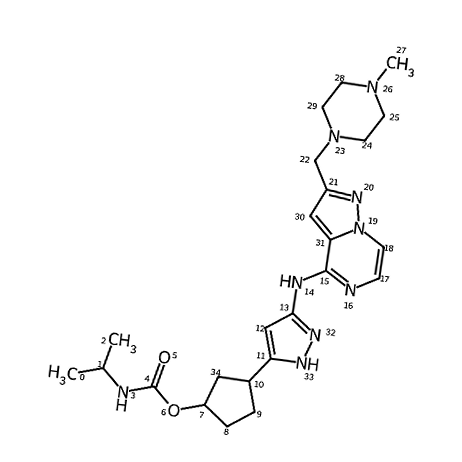 CC(C)NC(=O)OC1CCC(c2cc(Nc3nccn4nc(CN5CCN(C)CC5)cc34)n[nH]2)C1